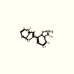 C1=C(c2cc3ncccc3o2)C2CNCC2CC1